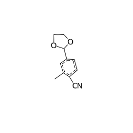 Cc1cc(C2OCCO2)ccc1C#N